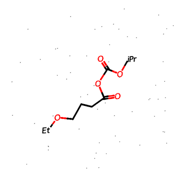 CCOCCCC(=O)OC(=O)OC(C)C